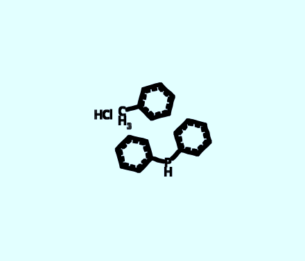 Cc1ccccc1.Cl.c1ccc(Pc2ccccc2)cc1